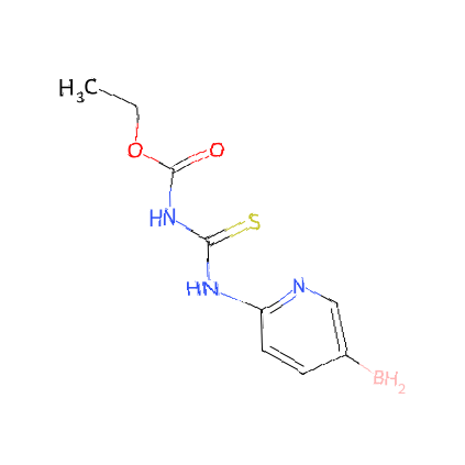 Bc1ccc(NC(=S)NC(=O)OCC)nc1